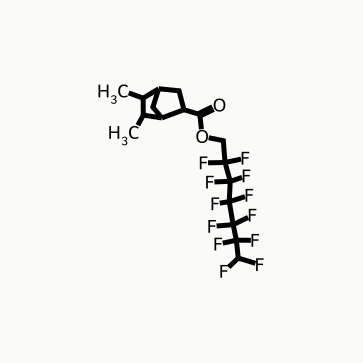 CC1C2CC(C(=O)OCC(F)(F)C(F)(F)C(F)(F)C(F)(F)C(F)(F)C(F)F)C(C2)C1C